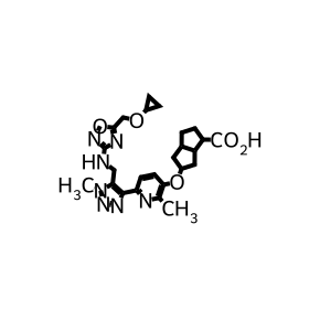 Cc1nc(-c2nnn(C)c2CNc2noc(COC3CC3)n2)ccc1OC1CC2CCC(C(=O)O)C2C1